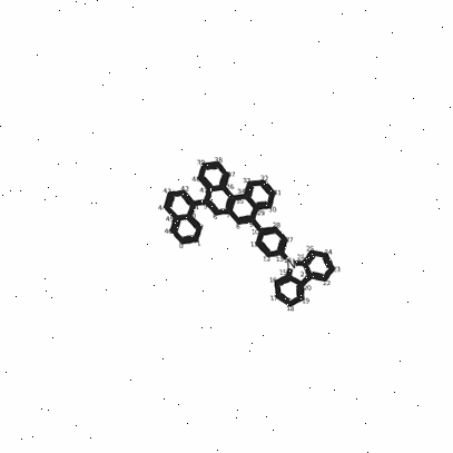 c1ccc2c(-c3cc4cc(-c5ccc(-n6c7ccccc7c7ccccc76)cc5)c5ccccc5c4c4ccccc34)cccc2c1